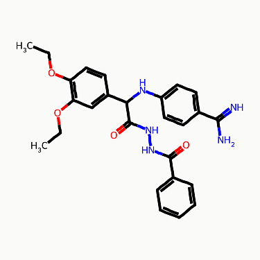 CCOc1ccc(C(Nc2ccc(C(=N)N)cc2)C(=O)NNC(=O)c2ccccc2)cc1OCC